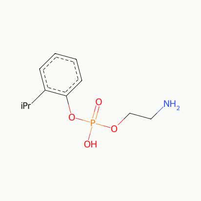 CC(C)c1ccccc1OP(=O)(O)OCCN